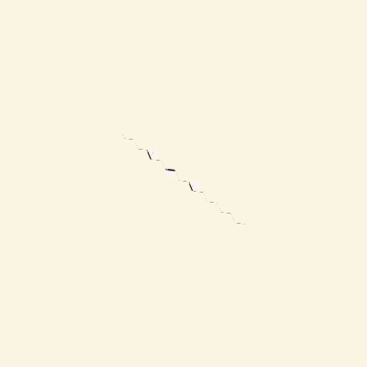 [CH2]CCC/C=C/C/C=C/C/C=C/CCCCCCCC